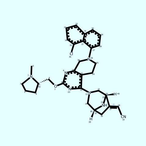 CN1CCC[C@H]1COc1nc2c(c(N3C[C@H]4C/C(=C\C#N)[C@@H](C3)N4)n1)CCN(c1cccc3cccc(Cl)c13)C2